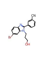 N#Cc1cccc(-c2nc3ccc(Br)cc3n2CCCO)c1